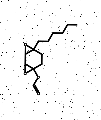 CCCCCCC12CCC3(OC=O)OC3C1O2